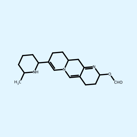 CC1CCCC(C2=CN3C=C4CCC(OC=O)N=C4CC3CC2)N1